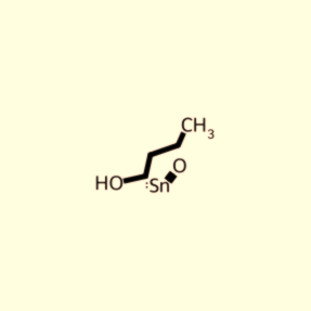 CCCCO.[O]=[Sn]